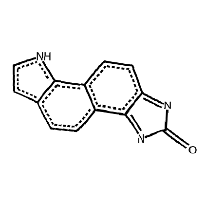 O=C1N=c2ccc3c(ccc4cc[nH]c43)c2=N1